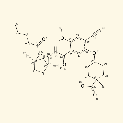 CCCNC(=O)[C@H]1[C@@H]2CC[C@@H](C2)[C@H]1NC(=O)c1cc(OC2CCC(C)(C(=O)O)CC2)c(C#N)cc1OC